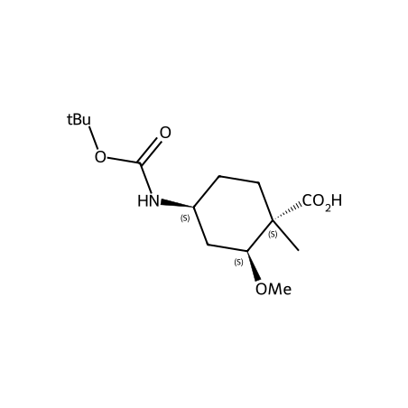 CO[C@H]1C[C@@H](NC(=O)OC(C)(C)C)CC[C@]1(C)C(=O)O